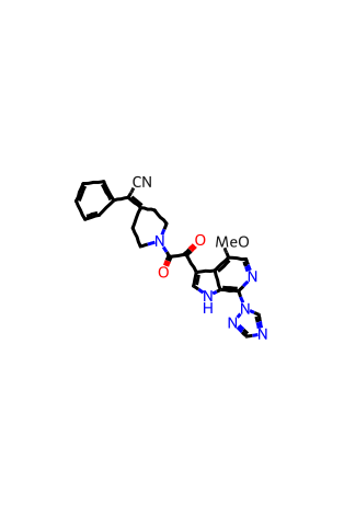 COc1cnc(-n2cncn2)c2[nH]cc(C(=O)C(=O)N3CCC(=C(C#N)c4ccccc4)CC3)c12